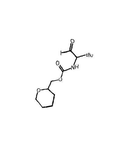 CC(C)(C)C(NC(=O)OCC1CCCCO1)C(=O)I